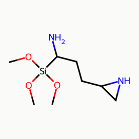 CO[Si](OC)(OC)C(N)CCC1CN1